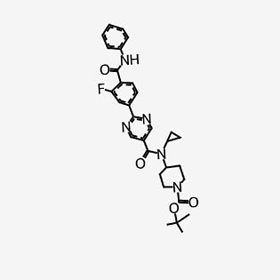 CC(C)(C)OC(=O)N1CCC(N(C(=O)c2cnc(-c3ccc(C(=O)Nc4ccccc4)c(F)c3)nc2)C2CC2)CC1